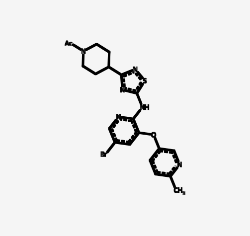 CC(=O)N1CCC(c2nsc(Nc3ncc(Br)cc3Oc3ccc(C)nc3)n2)CC1